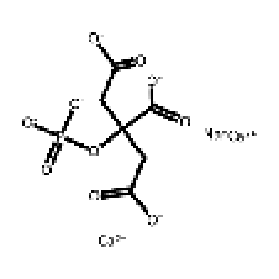 O=C([O-])CC(CC(=O)[O-])(OP(=O)([O-])[O-])C(=O)[O-].[Ca+2].[Ca+2].[Na+]